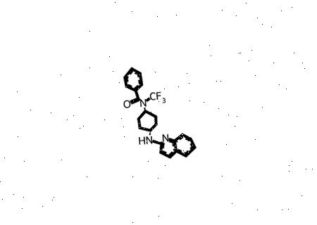 O=C(c1ccccc1)N([C@H]1CC[C@@H](Nc2ccc3ccccc3n2)CC1)C(F)(F)F